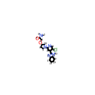 CN(C)C(=O)CO[C@@H]1CCN(c2cc(-c3nc4ccccc4n3C)c(Cl)cn2)C1